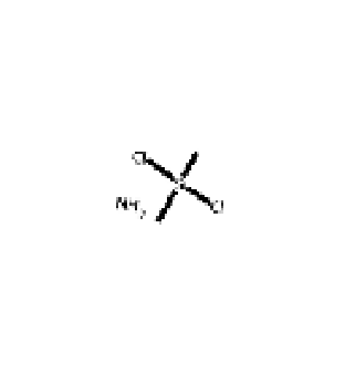 C[Si](C)(Cl)Cl.N